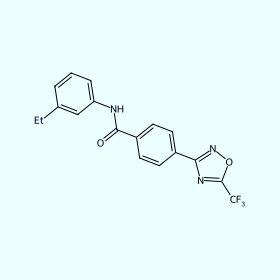 CCc1cccc(NC(=O)c2ccc(-c3noc(C(F)(F)F)n3)cc2)c1